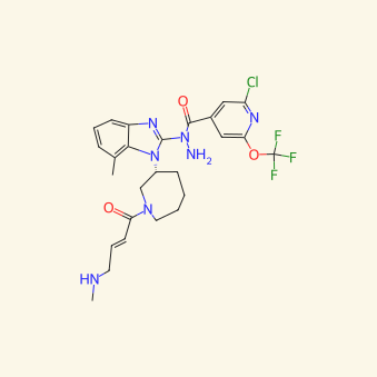 CNC/C=C/C(=O)N1CCCC[C@@H](n2c(N(N)C(=O)c3cc(Cl)nc(OC(F)(F)F)c3)nc3cccc(C)c32)C1